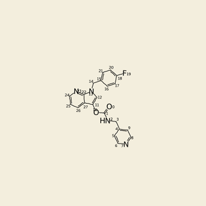 O=C(NCc1ccncc1)Oc1cn(Cc2ccc(F)cc2)c2ncccc12